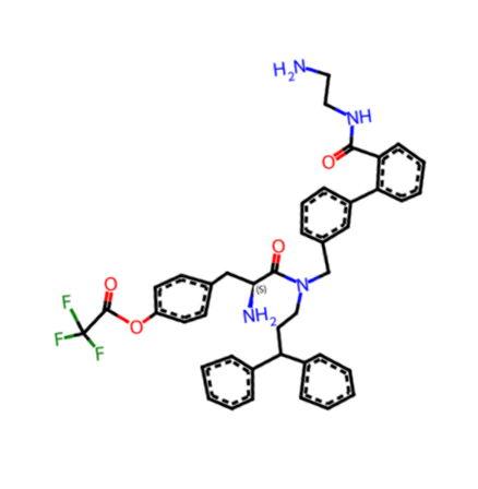 NCCNC(=O)c1ccccc1-c1cccc(CN(CCC(c2ccccc2)c2ccccc2)C(=O)[C@@H](N)Cc2ccc(OC(=O)C(F)(F)F)cc2)c1